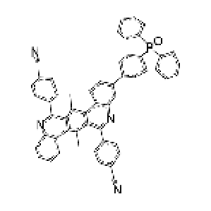 Cc1c2c(-c3ccc(C#N)cc3)nc3cc(-c4ccc(P(=O)(c5ccccc5)c5ccccc5)cc4)ccc3c2c(C)c2c(-c3ccc(C#N)cc3)nc3ccccc3c12